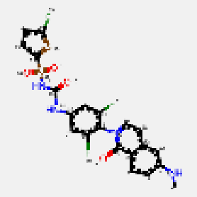 CNc1ccc2c(=O)n(-c3c(F)cc(NC(=O)NS(=O)(=O)c4ccc(Cl)s4)cc3F)ccc2c1